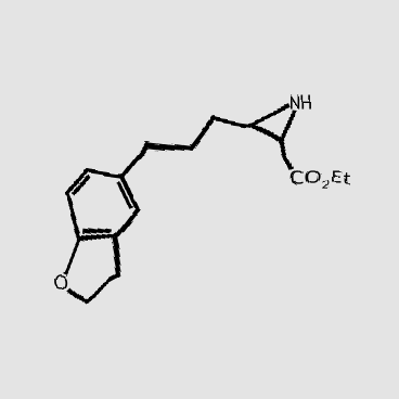 CCOC(=O)C1NC1CCCc1ccc2c(c1)CCO2